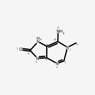 Cn1cnc2nc(=O)[nH]c-2c1N